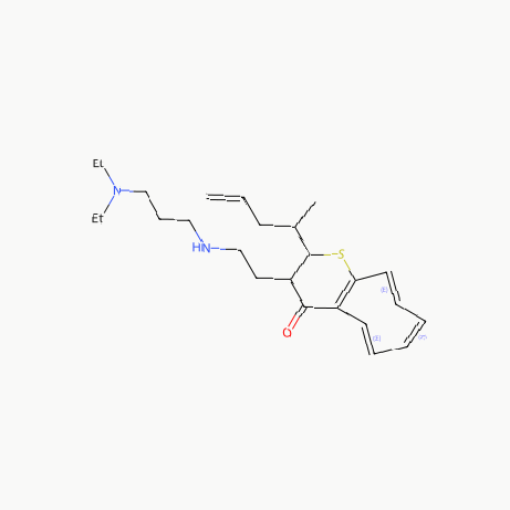 C=CCC(C)C1SC2=C(/C=C/C=C\C=C\2)C(=O)C1CCNCCCN(CC)CC